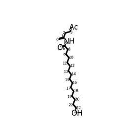 C=C(CCC(C)=O)NC(=O)CCCCCCCCCCCCCCCO